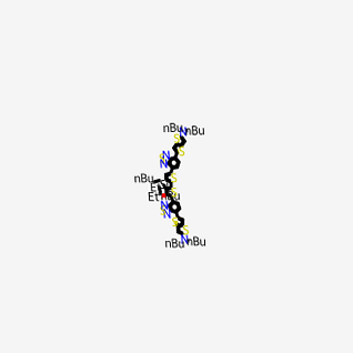 CCCCC(CC)C[Si]1(CC(CC)CCCC)c2cc(-c3ccc(-c4cc5sc(N(CCCC)CCCC)cc5s4)c4nsnc34)sc2-c2sc(-c3ccc(-c4cc5sc(N(CCCC)CCCC)cc5s4)c4nsnc34)cc21